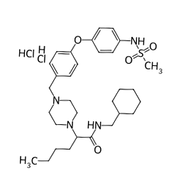 CCCCC(C(=O)NCC1CCCCC1)N1CCN(Cc2ccc(Oc3ccc(NS(C)(=O)=O)cc3)cc2)CC1.Cl.Cl